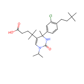 CC(C)N1C=C(C(C)(C)CCC(=O)O)C(C)(c2ccc(CCC(C)(C)C)c(Cl)c2)NC1=O